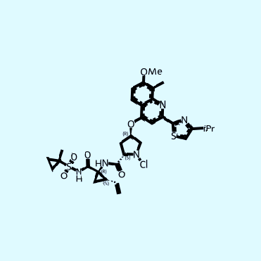 C=C[C@@H]1C[C@]1(NC(=O)[C@@H]1C[C@@H](Oc2cc(-c3nc(C(C)C)cs3)nc3c(C)c(OC)ccc23)CN1Cl)C(=O)NS(=O)(=O)C1(C)CC1